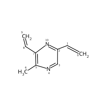 C=Cc1cnc(C)c(C=C)n1